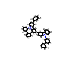 c1ccc(-c2cccc(-n3c4ccccc4c4cc(-c5cc6c7c(c5)c5cc(-c8ccccc8)ccc5n7-c5ccccc5-c5ccccc5-6)ccc43)c2)cc1